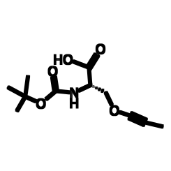 CC#COC[C@H](NC(=O)OC(C)(C)C)C(=O)O